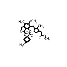 CCc1c(C)c2c(c(OS(=O)(=O)c3ccc(C)cc3)c1CC1=C(C)C(CC(=O)OC)CC1)C(=O)OC2